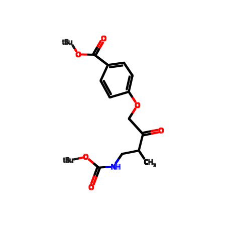 CC(CNC(=O)OC(C)(C)C)C(=O)COc1ccc(C(=O)OC(C)(C)C)cc1